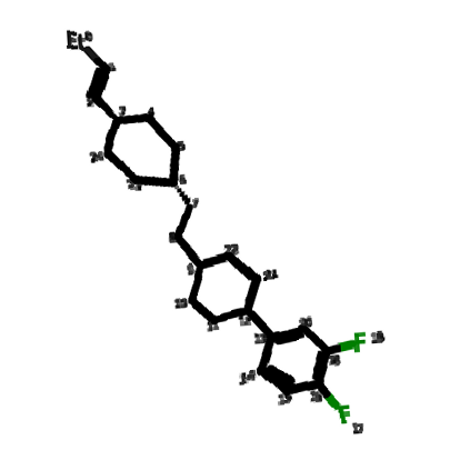 CC/C=C/[C@H]1CC[C@H](CCC2CCC(c3ccc(F)c(F)c3)CC2)CC1